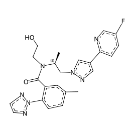 Cc1ccc(-n2nccn2)c(C(=O)N(CCO)[C@@H](C)Cn2cc(-c3ccc(F)cn3)cn2)c1